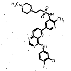 Cc1ncc(-c2ccc3ncnc(Nc4ccc(F)c(Cl)c4)c3n2)cc1NS(=O)(=O)CCN1CCN(C)CC1